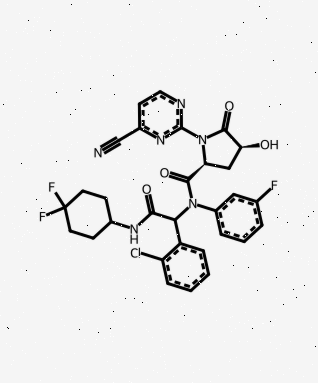 N#Cc1ccnc(N2C(=O)[C@@H](O)C[C@H]2C(=O)N(c2cccc(F)c2)C(C(=O)NC2CCC(F)(F)CC2)c2ccccc2Cl)n1